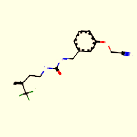 C=C(CCNC(=O)NCc1cccc(OCC#N)c1)C(F)(F)F